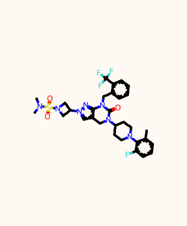 Cc1cccc(F)c1N1CCC(N2Cc3cn(C4CN(S(=O)(=O)N(C)C)C4)nc3N(Cc3ccccc3C(F)(F)F)C2=O)CC1